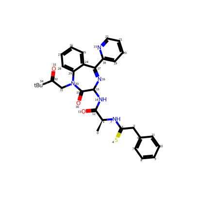 C[C@H](NC(=S)Cc1ccccc1)C(=O)NC1N=C(c2ccccn2)c2ccccc2N(CC(=O)C(C)(C)C)C1=O